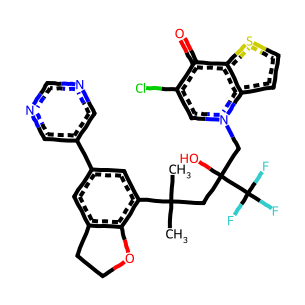 CC(C)(CC(O)(Cn1cc(Cl)c(=O)c2sccc21)C(F)(F)F)c1cc(-c2cncnc2)cc2c1OCC2